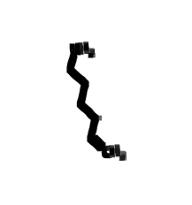 C=C[CH]CCCN